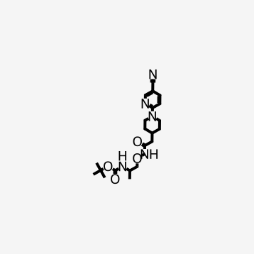 CC(CONC(=O)CC1CCN(c2ccc(C#N)cn2)CC1)NC(=O)OC(C)(C)C